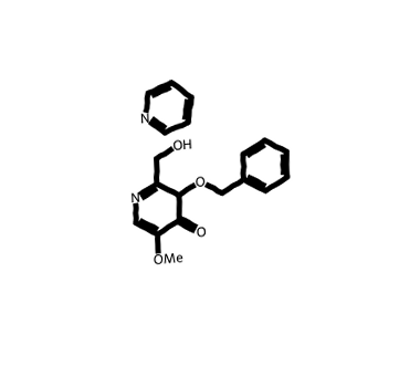 COC1=CN=C(CO)C(OCc2ccccc2)C1=O.c1ccncc1